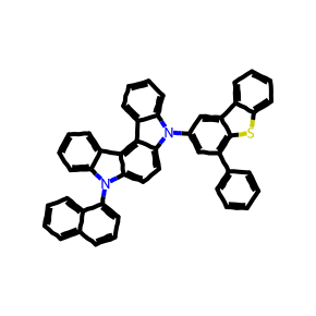 c1ccc(-c2cc(-n3c4ccccc4c4c5c6ccccc6n(-c6cccc7ccccc67)c5ccc43)cc3c2sc2ccccc23)cc1